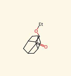 CCOCC1C2CC3CC1CC(C2)C3=O